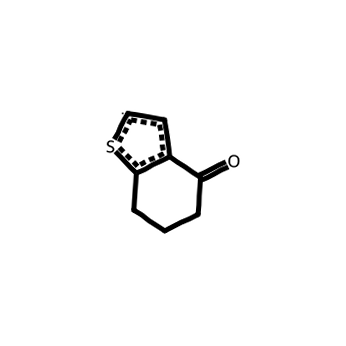 O=C1CCCc2s[c]cc21